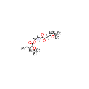 CCC(O[Si](CC)(CC)CC)C(C)(C)C(=O)C(=O)/C(C)=C(\C)[C@H](C)OC(=O)C(O[Si](CC)(CC)CC)[C@@H](C)CC(C)C